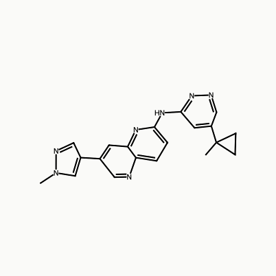 Cn1cc(-c2cnc3ccc(Nc4cc(C5(C)CC5)cnn4)nc3c2)cn1